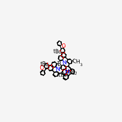 Cc1cc(-c2ccc(C(C)(C)C)cc2)c(N2c3cc(-c4ccc5oc6ccccc6c5c4)ccc3B3c4ccc(-c5ccc6oc7ccccc7c6c5)cc4N(c4c(-c5ccc(C(C)(C)C)cc5)cccc4-c4ccc(C(C)(C)C)cc4)c4cc(-n5c6ccccc6c6ccccc65)cc2c43)c(-c2ccc(C(C)(C)C)cc2)c1